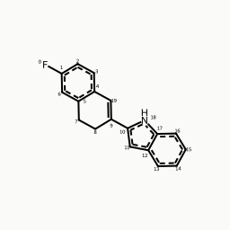 Fc1ccc2c(c1)CCC(c1cc3ccccc3[nH]1)=C2